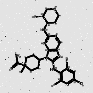 CC1(C(N)=O)CCC(n2c(Nc3c(F)cc(Cl)cc3F)nc3cnc(N[C@@H]4CCOC[C@H]4F)nc32)CC1